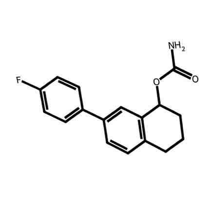 NC(=O)OC1CCCc2ccc(-c3ccc(F)cc3)cc21